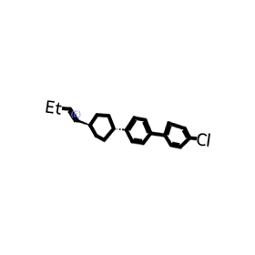 CC/C=C/[C@H]1CC[C@H](c2ccc(-c3ccc(Cl)cc3)cc2)CC1